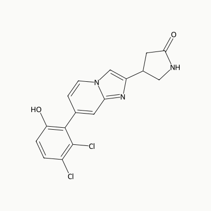 O=C1CC(c2cn3ccc(-c4c(O)ccc(Cl)c4Cl)cc3n2)CN1